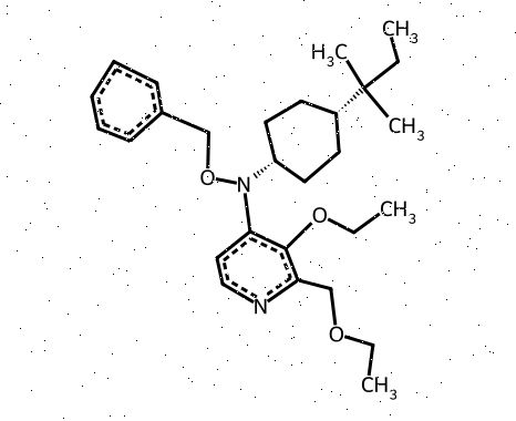 CCOCc1nccc(N(OCc2ccccc2)[C@H]2CC[C@@H](C(C)(C)CC)CC2)c1OCC